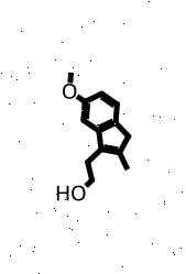 COc1ccc2c(c1)C(CCO)=C(C)C2